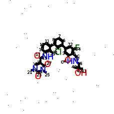 COc1cc(-c2cccc(-c3cccc(NC(=O)c4cn(C)c(=O)n(C)c4=O)c3C)c2Cl)cc(F)c1CNCC(C)(C)O